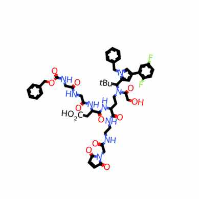 CC(C)(C)C(c1cc(-c2cc(F)ccc2F)cn1Cc1ccccc1)N(CCC(NC(=O)C(CC(=O)O)NC(=O)CNC(=O)CNC(=O)OCc1ccccc1)C(=O)NCCNC(=O)CN1C(=O)C=CC1=O)C(=O)CO